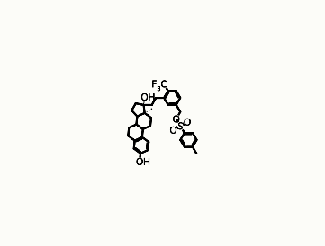 Cc1ccc(S(=O)(=O)OCc2ccc(C(F)(F)F)c(CC[C@]3(O)CCC4C5CCc6cc(O)ccc6C5CC[C@@]43C)c2)cc1